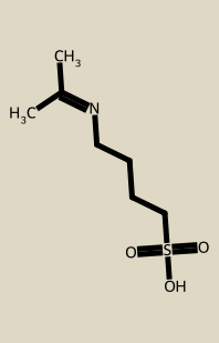 CC(C)=NCCCCS(=O)(=O)O